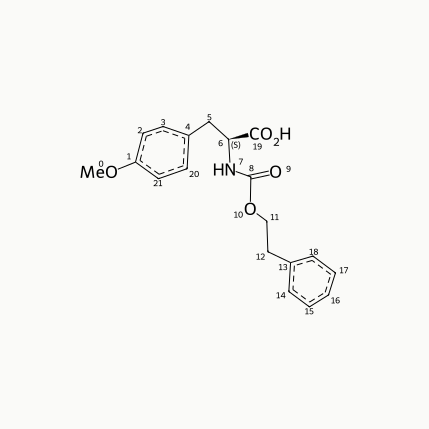 COc1ccc(C[C@H](NC(=O)OCCc2ccccc2)C(=O)O)cc1